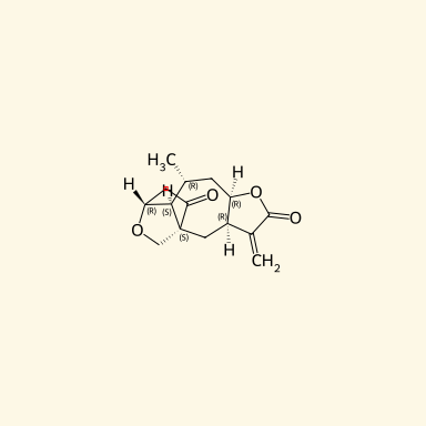 C=C1C(=O)O[C@@H]2C[C@@H](C)[C@@H]3[C@H]4CC(=O)[C@@]3(CO4)C[C@H]12